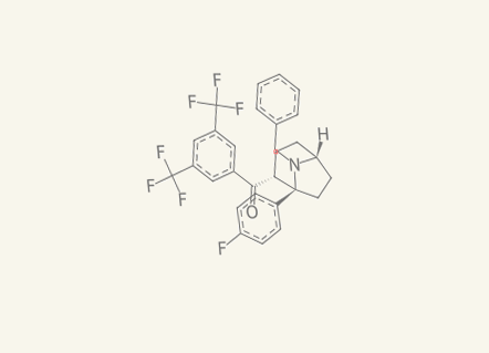 O=C(c1cc(C(F)(F)F)cc(C(F)(F)F)c1)[C@@H]1CC[C@@H]2CC[C@@]1(c1ccc(F)cc1)N2Cc1ccccc1